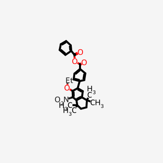 CCOc1c(-c2ccc(C(=O)OC(=O)c3ccccc3)cc2)cc2c(c1[N+](=O)[O-])C(C)(C)CCC2(C)C